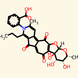 CCCC1=C2C(=O)C3=CC(=O)C4=C(O[C@@H]5O[C@H](C)[C@H](O)[C@H](O)[C@]45O)C(=O)C3=C2C=C(C)N1c1ccccc1C(=O)O